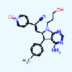 Cc1ccc(C2c3c(N)ncnc3N(CCCO)C2/C=C(\C#N)c2cc[n+]([O-])cc2)cc1